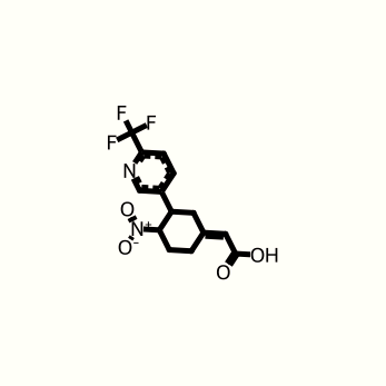 O=C(O)C=C1CCC([N+](=O)[O-])C(c2ccc(C(F)(F)F)nc2)C1